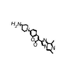 Cc1cn2cc(-c3cc4ccc(N5CCC(N)CC5)cc4oc3=O)nc2c(C)n1